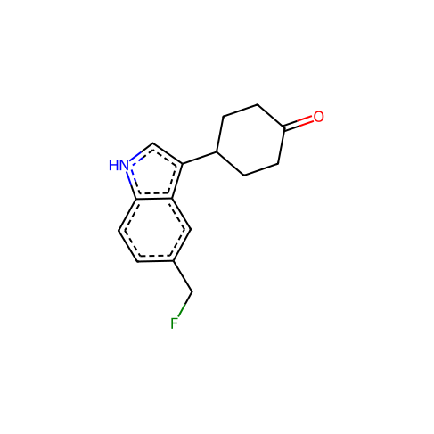 O=C1CCC(c2c[nH]c3ccc(CF)cc23)CC1